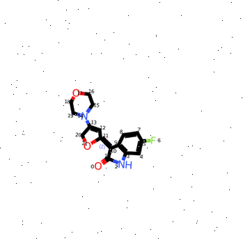 O=C1Nc2cc(F)ccc2/C1=C1\C=C(N2CCOCC2)CO1